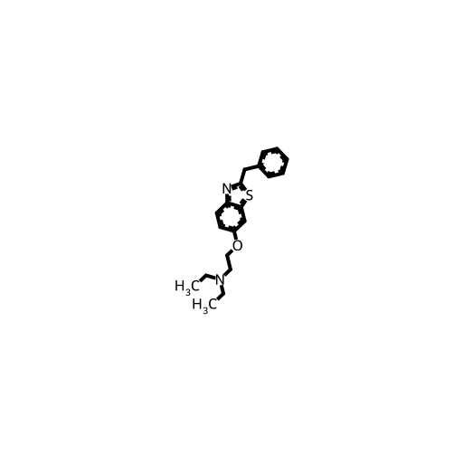 CCN(CC)CCOc1ccc2nc(Cc3ccccc3)sc2c1